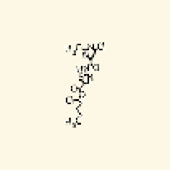 CCCCC(Cl)OC(=O)c1cnc(NC(=O)c2cc(Cl)nc(C)n2)s1